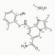 CS(=O)(=O)O.Cc1cccc(C(C)C)c1CNc1cc(C(N)=O)cn2c(C)c(C)nc12